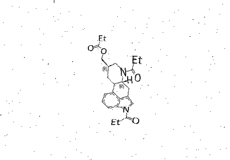 CCC(=O)OC[C@@H]1CC2c3cccc4c3c(cn4C(=O)CC)C[C@H]2N(C(=O)CC)C1